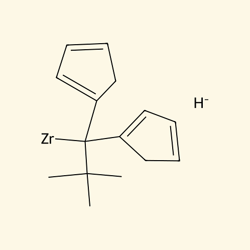 CC(C)(C)[C]([Zr])(C1=CC=CC1)C1=CC=CC1.[H-]